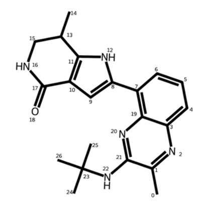 Cc1nc2cccc(-c3cc4c([nH]3)C(C)CNC4=O)c2nc1NC(C)(C)C